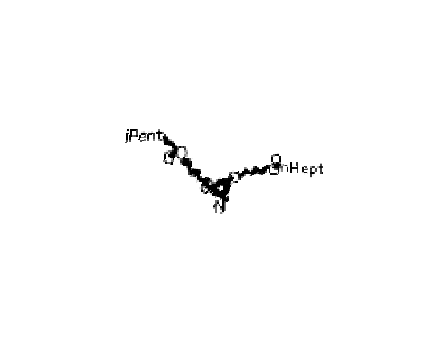 CCCCCCCC(=O)OCCCCCCOc1cc(CN(C)C)cc(OCCCCCCOC(=O)CCCC(C)CCC)c1